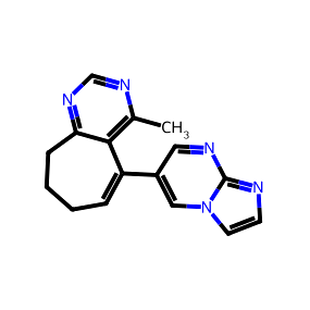 Cc1ncnc2c1C(c1cnc3nccn3c1)=CCCC2